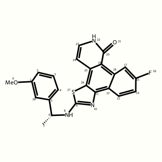 COc1cccc([C@@H](C)Nc2nc3c4ccc(F)cc4c4c(=O)[nH]ccc4c3s2)c1